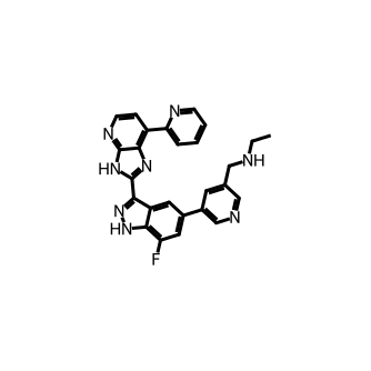 CCNCc1cncc(-c2cc(F)c3[nH]nc(-c4nc5c(-c6ccccn6)ccnc5[nH]4)c3c2)c1